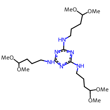 COC(CCCNc1nc(NCCCC(OC)OC)nc(NCCCC(OC)OC)n1)OC